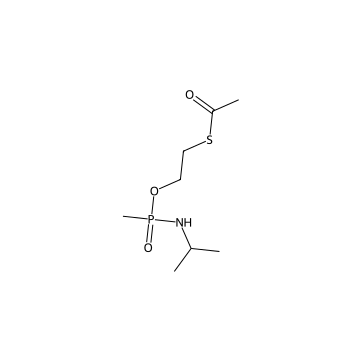 CC(=O)SCCOP(C)(=O)NC(C)C